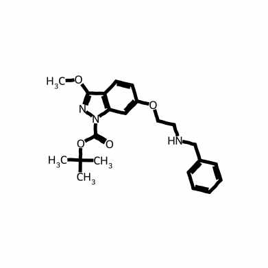 COc1nn(C(=O)OC(C)(C)C)c2cc(OCCNCc3ccccc3)ccc12